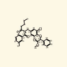 CCCCc1nc2ccc(C)cc2c(=O)n1Cc1ccc(OC(C(=O)OC)c2ccccc2)c(Cl)c1